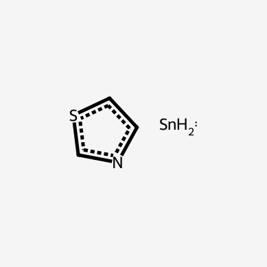 [SnH2].c1cscn1